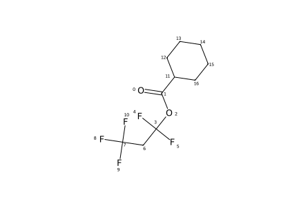 O=C(OC(F)(F)CC(F)(F)F)C1CCCCC1